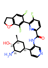 C[C@H]1C[C@@H](c2ccncc2NC(=O)c2ccc(F)c(-c3c(F)cc4c(c3F)OCC4)n2)C[C@@H](N)[C@@H]1O